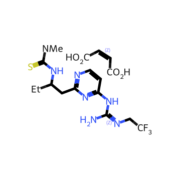 CCC(Cc1nccc(N/C(N)=N\CC(F)(F)F)n1)NC(=S)NC.O=C(O)/C=C\C(=O)O